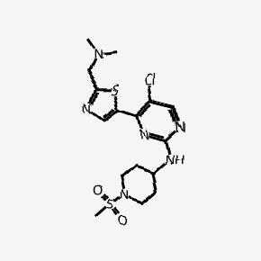 CN(C)Cc1ncc(-c2nc(NC3CCN(S(C)(=O)=O)CC3)ncc2Cl)s1